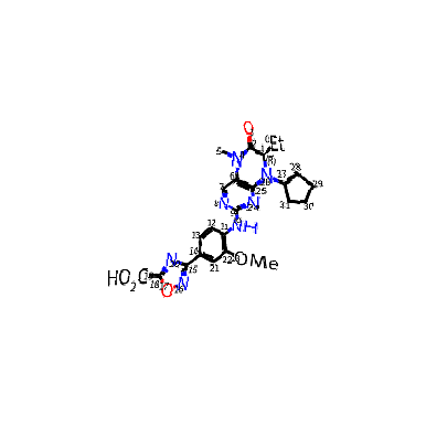 CC[C@@H]1C(=O)N(C)c2cnc(Nc3ccc(-c4noc(C(=O)O)n4)cc3OC)nc2N1C1CCCC1